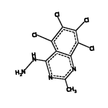 Cc1nc(NN)c2c(Cl)c(Cl)c(Cl)c(Cl)c2n1